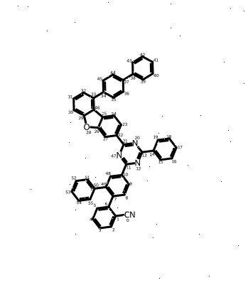 N#Cc1ccccc1-c1ccc(-c2nc(-c3ccccc3)nc(-c3ccc4c(c3)oc3cccc(-c5ccc(-c6ccccc6)cc5)c34)n2)cc1-c1ccccc1